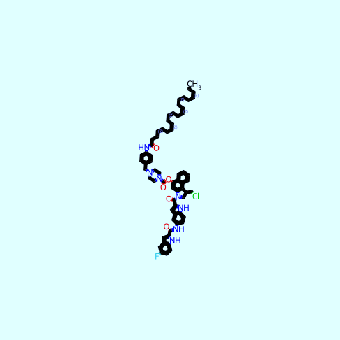 CC/C=C\C/C=C\C/C=C\C/C=C\C/C=C\C/C=C\CCC(=O)Nc1ccc(CN2CCN(C(=O)Oc3cc4c(c5ccccc35)C(CCl)CN4C(=O)c3cc4cc(NC(=O)c5cc6cc(F)ccc6[nH]5)ccc4[nH]3)CC2)cc1